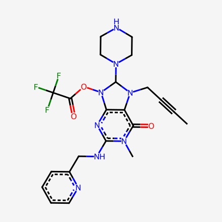 CC#CCN1c2c(nc(NCc3ccccn3)n(C)c2=O)N(OC(=O)C(F)(F)F)C1N1CCNCC1